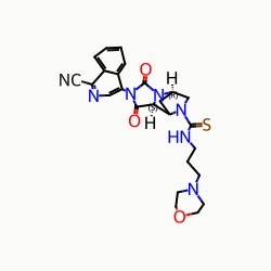 N#Cc1ncc(N2C(=O)[C@@H]3C4C[C@H](CN4C(=S)NCCCN4CCOCC4)N3C2=O)c2ccccc12